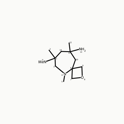 CNC1(C)CN(C)C2(COC2)CC(C)(N)C1